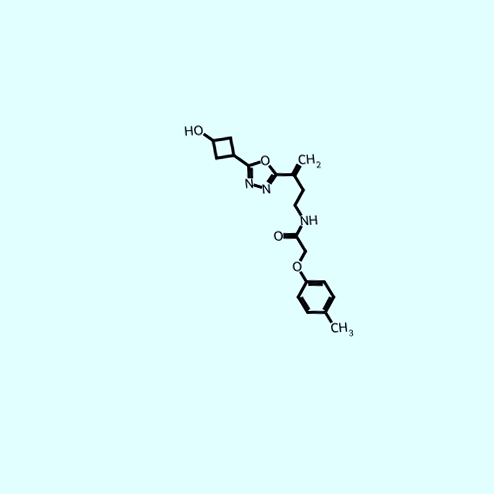 C=C(CCNC(=O)COc1ccc(C)cc1)c1nnc(C2CC(O)C2)o1